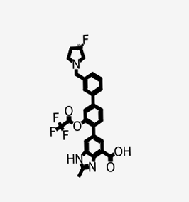 Cc1nc2c(C(=O)O)cc(-c3ccc(-c4cccc(CN5CC[C@@H](F)C5)c4)cc3OC(=O)C(F)(F)F)cc2[nH]1